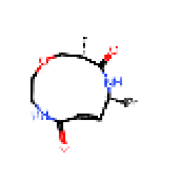 CC(C)[C@H]1/C=C/C(=O)NCCOC[C@H](C)C(=O)N1